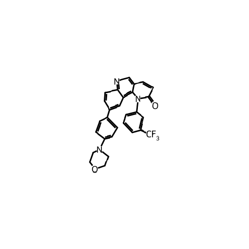 O=c1ccc2cnc3ccc(-c4ccc(N5CCOCC5)cc4)cc3c2n1-c1cccc(C(F)(F)F)c1